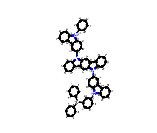 c1ccc(B(c2ccccc2)c2cccc(-n3c4ccccc4c4cc(-n5c6ccccc6c6cc7c(cc65)c5ccccc5n7-c5ccc6c(c5)c5ccccc5n6-c5ccccc5)ccc43)c2)cc1